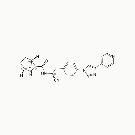 N#C[C@H](Cc1ccc(-n2cc(-c3ccncc3)nn2)cc1)NC(=O)[C@H]1N[C@@H]2CC[C@H]1C2